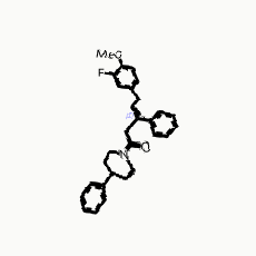 COc1ccc(C/C=C(/CC(=O)N2CCC(c3ccccc3)CC2)c2ccccc2)cc1F